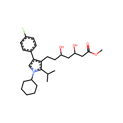 COC(=O)CC(O)CC(O)CCc1c(-c2ccc(F)cc2)cn(C2CCCCC2)c1C(C)C